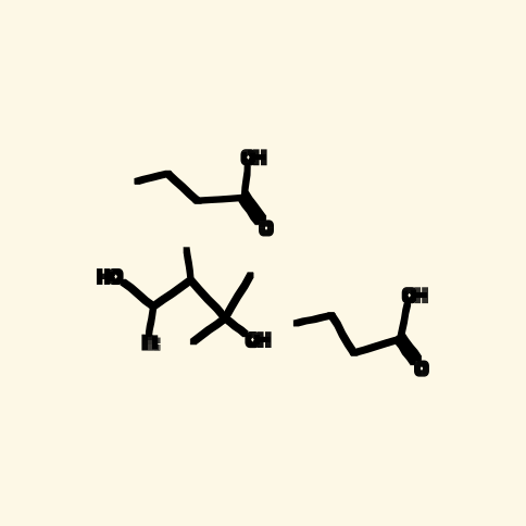 CCC(O)C(C)C(C)(C)O.CCCC(=O)O.CCCC(=O)O